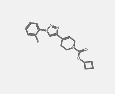 O=C(OC1CCC1)N1CC=C(c2cn(-c3ccccc3F)nn2)CC1